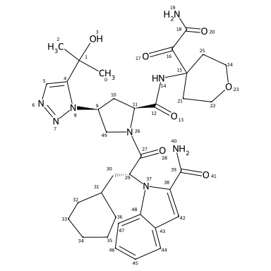 CC(C)(O)c1cnnn1[C@H]1C[C@@H](C(=O)NC2(C(=O)C(N)=O)CCOCC2)N(C(=O)[C@@H](CC2CCCCC2)n2c(C(N)=O)cc3ccccc32)C1